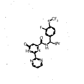 CC(C)C(NC(=O)c1cc(=O)[nH]c(-c2ncccn2)n1)c1ccc(SC(F)(F)F)c(F)c1